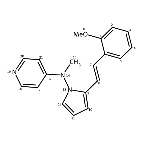 COc1ccccc1C=Cc1cccn1N(C)c1ccncc1